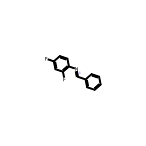 Fc1ccc(/N=C/c2ccccc2)c(F)c1